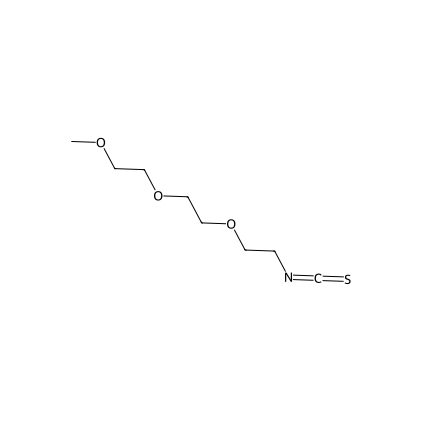 COCCOCCOCCN=C=S